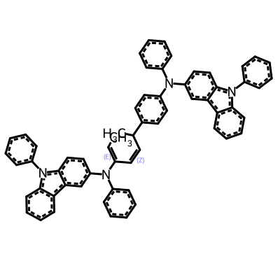 C/C=C(\C=C/C(C)c1ccc(N(c2ccccc2)c2ccc3c(c2)c2ccccc2n3-c2ccccc2)cc1)N(c1ccccc1)c1ccc2c(c1)c1ccccc1n2-c1ccccc1